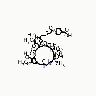 COc1cc2cc(c1Cl)N(C)C(=O)C[C@H](OC(=O)[C@H](C)N(C)C(=O)CCSCC(=O)N1CCC(C(=O)O)CC1)[C@]1(C)O[C@H]1[C@H](C)[C@@H]1C[C@@](O)(NC(=O)O1)[C@H](OC)/C=C/C=C(\C)C2